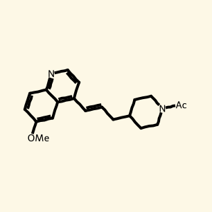 COc1ccc2nccc(C=CCC3CCN(C(C)=O)CC3)c2c1